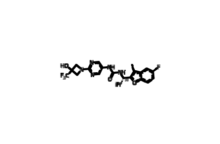 Cc1c([C@@H](NC(=O)Nc2cnc(N3CC(O)(C(F)(F)F)C3)nc2)C(C)C)oc2ccc(F)cc12